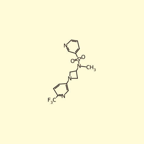 CN(C1CN(c2ccc(C(F)(F)F)nc2)C1)S(=O)(=O)c1cccnc1